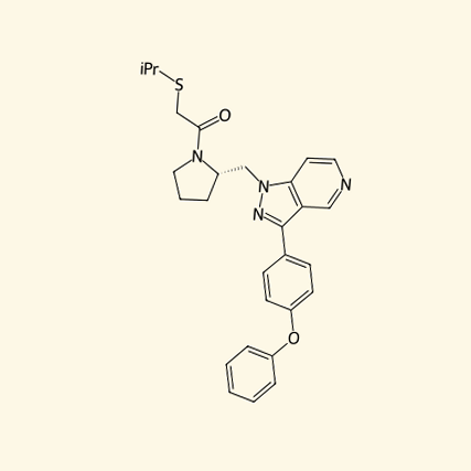 CC(C)SCC(=O)N1CCC[C@H]1Cn1nc(-c2ccc(Oc3ccccc3)cc2)c2cnccc21